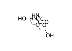 N=C=O.N=C=O.OCCOCCO